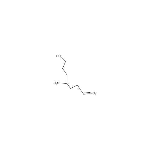 C=CCCC(C)CCCO